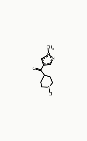 Cn1cc(C(=O)C2CCN(Cl)CC2)cn1